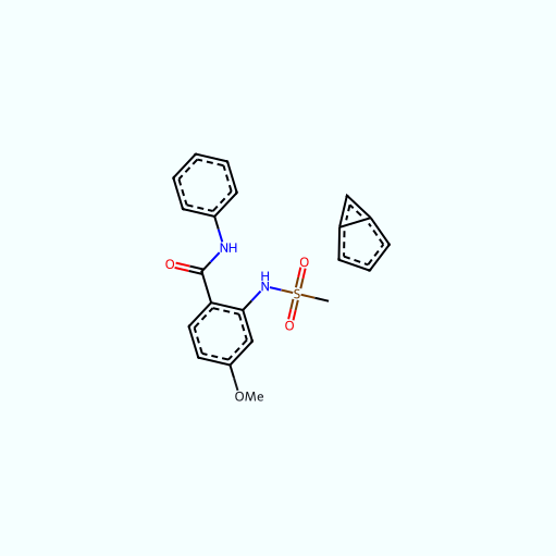 COc1ccc(C(=O)Nc2ccccc2)c(NS(C)(=O)=O)c1.c1cc2cc-2c1